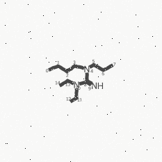 CCCCN(CCC)C(=N)N(CC)CC